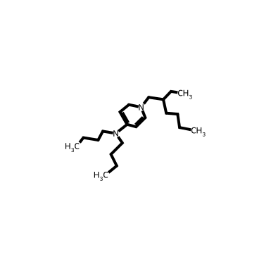 CCCCC(CC)CN1C=CC(N(CCCC)CCCC)=CC1